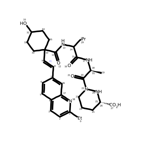 CCc1ccc2ccc(/C=C/C3(C(=O)NC(C(=O)N[C@@H](C)C(=O)N4CCC[C@@H](C(=O)O)N4)C(C)C)CCC(O)CC3)cc2n1